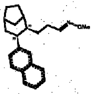 CON=CCC[C@@H]1C2CCC(C2)C[C@H]1c1ccc2ccccc2c1